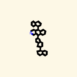 c1ccc2c(-c3ccc4cc(-c5c6ccccc6c(-c6cccc7ccccc67)c6ccncc56)ccc4c3)cccc2c1